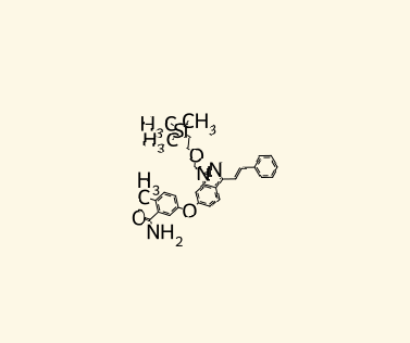 Cc1ccc(Oc2ccc3c(C=Cc4ccccc4)nn(COCC[Si](C)(C)C)c3c2)cc1C(N)=O